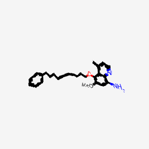 COc1cc(N)c2nccc(C)c2c1OCCCCCCCCc1ccccc1